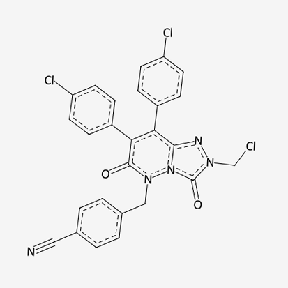 N#Cc1ccc(Cn2c(=O)c(-c3ccc(Cl)cc3)c(-c3ccc(Cl)cc3)c3nn(CCl)c(=O)n32)cc1